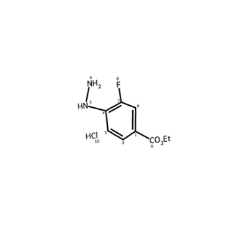 CCOC(=O)c1ccc(NN)c(F)c1.Cl